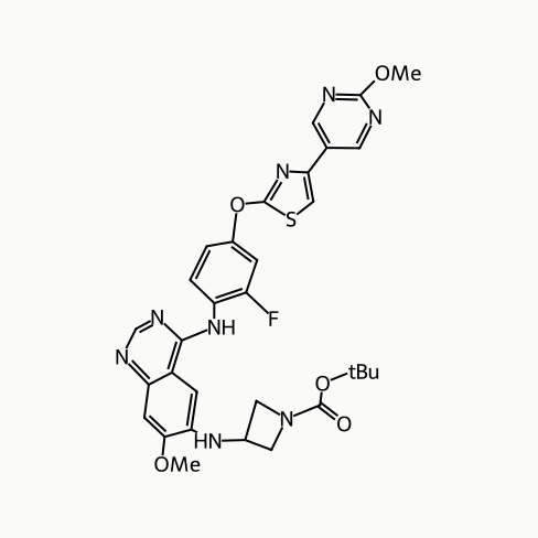 COc1ncc(-c2csc(Oc3ccc(Nc4ncnc5cc(OC)c(NC6CN(C(=O)OC(C)(C)C)C6)cc45)c(F)c3)n2)cn1